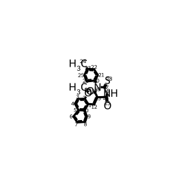 COc1ccc2ccccc2c1/C=C1/C(=O)NC(=S)N(c2ccc(C)cc2)C1=O